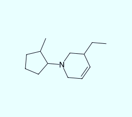 CCC1C=CCN(C2CCCC2C)C1